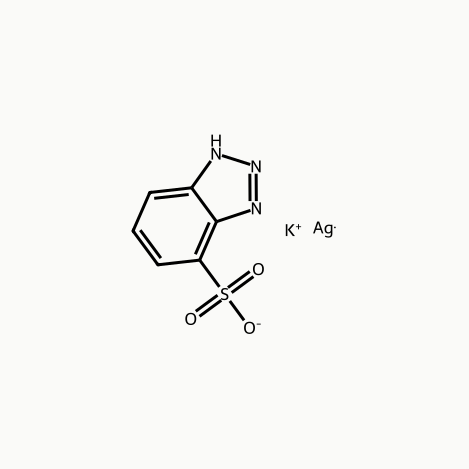 O=S(=O)([O-])c1cccc2[nH]nnc12.[Ag].[K+]